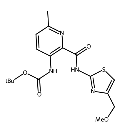 COCc1csc(NC(=O)c2nc(C)ccc2NC(=O)OC(C)(C)C)n1